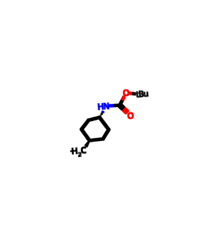 [CH2][C@H]1CC[C@H](NC(=O)OC(C)(C)C)CC1